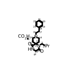 CC(=O)O.CC(C)CN1C(=O)[C@H](C)NC(=O)C12CCN(CCc1ccccc1)CC2